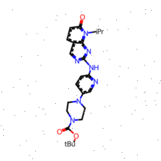 CC(C)n1c(=O)ccc2cnc(Nc3ccc(N4CCN(C(=O)OC(C)(C)C)CC4)cn3)nc21